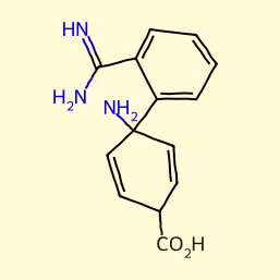 N=C(N)c1ccccc1C1(N)C=CC(C(=O)O)C=C1